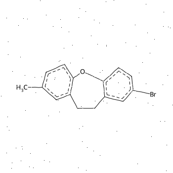 Cc1ccc2c(c1)CCc1cc(Br)ccc1O2